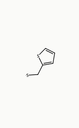 [S]Cc1cccs1